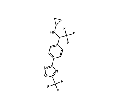 FC(F)(F)c1nc(-c2ccc(C(NC3CC3)C(F)(F)F)cc2)no1